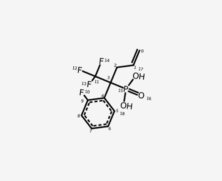 C=CCC(c1ccccc1F)(C(F)(F)F)P(=O)(O)O